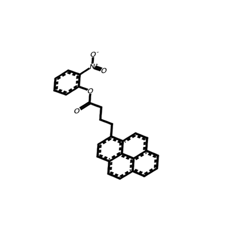 O=C(CCCc1ccc2ccc3cccc4ccc1c2c34)Oc1ccccc1[N+](=O)[O-]